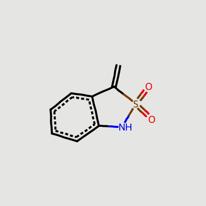 C=C1c2ccccc2NS1(=O)=O